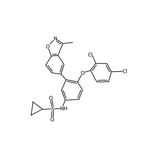 Cc1noc2ccc(-c3cc(NS(=O)(=O)C4CC4)ccc3Oc3ccc(Cl)cc3Cl)cc12